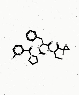 CC(C)CC(NC(=O)[C@H](Cc1ccccc1)NC(=O)[C@@H]1CCCN1C(=O)c1cccc(O)n1)C(=O)[C@@]1(C)CO1